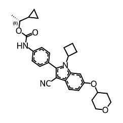 C[C@@H](OC(=O)Nc1ccc(-c2c(C#N)c3ccc(OC4CCOCC4)cc3n2C2CCC2)cc1)C1CC1